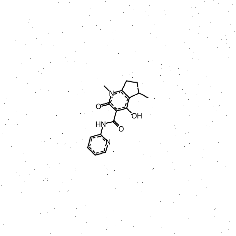 CC1CCc2c1c(O)c(C(=O)Nc1ccccn1)c(=O)n2C